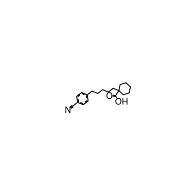 N#Cc1ccc(CCCCCC2(C(=O)O)CCCCC2)cc1